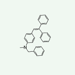 CN(Cc1ccccc1)c1ccc(C=C(c2ccccc2)c2ccccc2)cc1